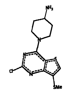 CSc1csc2c(N3CCC(N)CC3)nc(Cl)nc12